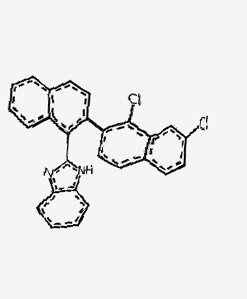 Clc1ccc2ccc(-c3ccc4ccccc4c3-c3nc4ccccc4[nH]3)c(Cl)c2c1